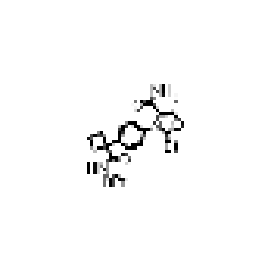 CCCNC(=O)C1(c2ccc(N3C(C(N)=O)=COC3CC)cc2)CCC1